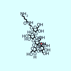 NCCCCC(=O)NCCO[C@H]1OC(CO)[C@@H](O)C(O[C@H]2OC(CO)[C@@H](O)C(O[C@H]3OC(CO)[C@@H](O)C(O)C3O[C@H]3OC(CO)[C@@H](O)C(O)C3O[C@H]3OC(CO)[C@@H](O)C(O)C3O)C2O)C1O